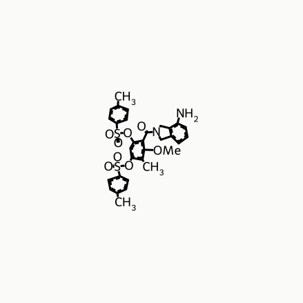 COc1c(C)c(OS(=O)(=O)c2ccc(C)cc2)cc(OS(=O)(=O)c2ccc(C)cc2)c1C(=O)N1Cc2cccc(N)c2C1